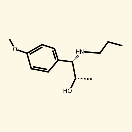 CCCN[C@@H](c1ccc(OC)cc1)[C@H](C)O